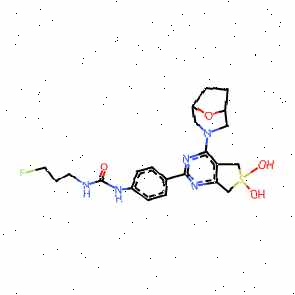 O=C(NCCCF)Nc1ccc(-c2nc3c(c(N4CC5CCC(C4)O5)n2)CS(O)(O)C3)cc1